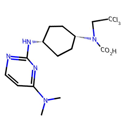 CN(C)c1ccnc(N[C@H]2CC[C@@H](N(CC(Cl)(Cl)Cl)C(=O)O)CC2)n1